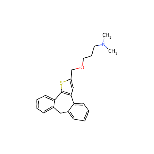 CN(C)CCCOCc1cc2c(s1)-c1ccccc1Cc1ccccc1-2